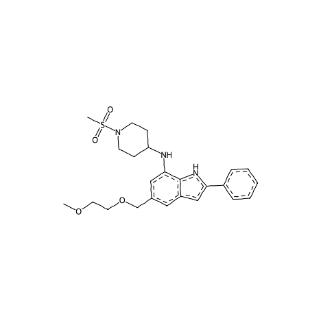 COCCOCc1cc(NC2CCN(S(C)(=O)=O)CC2)c2[nH]c(-c3ccccc3)cc2c1